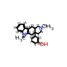 CN1CCC2(c3cccc(O)c3)Cc3c(c4ccccc4n3C)CC2C1